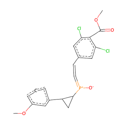 COC(=O)c1c(Cl)cc(C=C=[P+]([O-])C2CC2c2cccc(OC)c2)cc1Cl